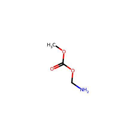 COC(=O)OCN